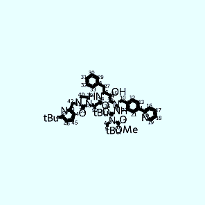 COC(=O)N(CC(C)(C)C)C(=O)NN(Cc1ccc(-c2ccccn2)cc1)CC(O)C(Cc1ccccc1)NC(=O)C(N1CCN(Cc2cccc(C(C)(C)C)n2)C1=O)C(C)(C)C